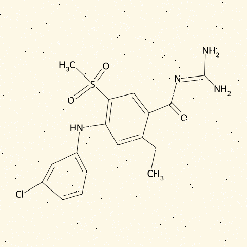 CCc1cc(Nc2cccc(Cl)c2)c(S(C)(=O)=O)cc1C(=O)N=C(N)N